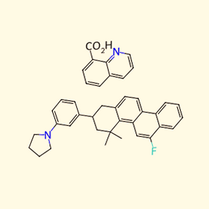 CC1(C)CC(c2cccc(N3CCCC3)c2)Cc2ccc3c(cc(F)c4ccccc43)c21.O=C(O)c1cccc2cccnc12